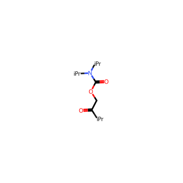 CC(C)C(=O)COC(=O)N(C(C)C)C(C)C